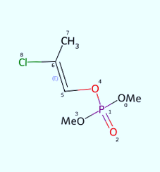 COP(=O)(OC)O/C=C(\C)Cl